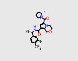 CC[C@@H](NC(=O)c1cc(C(=O)N2CCC[C@@H]2C)n2c1COCC2)c1ccc(C(F)(F)F)c(F)c1